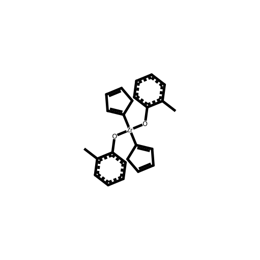 Cc1ccccc1[O][Zr]([O]c1ccccc1C)([C]1=CC=CC1)[C]1=CC=CC1